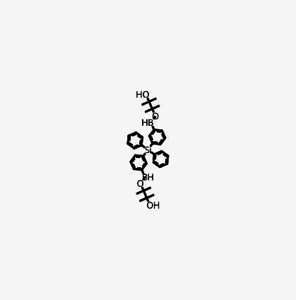 CC(C)(O)C(C)(C)OBc1cccc([Si](c2ccccc2)(c2ccccc2)c2cccc(BOC(C)(C)C(C)(C)O)c2)c1